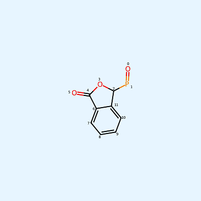 O=PC1OC(=O)c2ccccc21